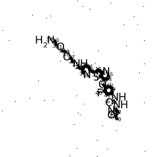 Cc1cc(NC(=O)Nc2ccc(Oc3ccnc4cc(-c5ccc(CNCCOCCOCCN)cn5)sc34)c(F)c2)no1